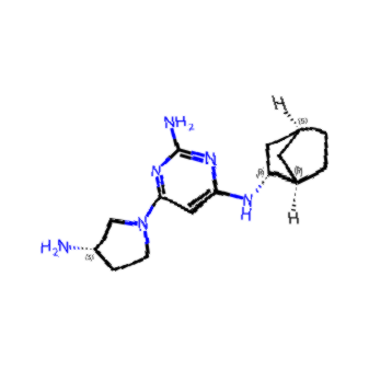 Nc1nc(N[C@@H]2C[C@H]3CC[C@@H]2C3)cc(N2CC[C@H](N)C2)n1